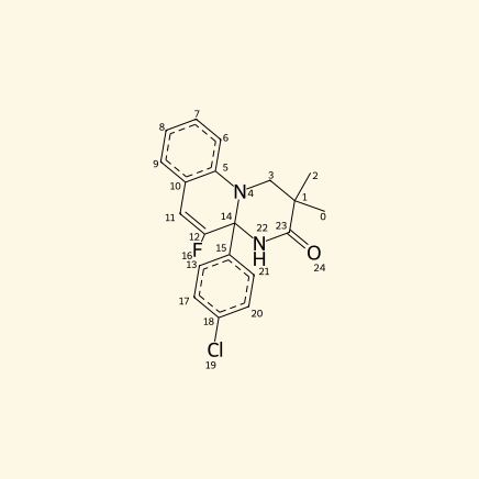 CC1(C)CN2c3ccccc3C=C(F)C2(c2ccc(Cl)cc2)NC1=O